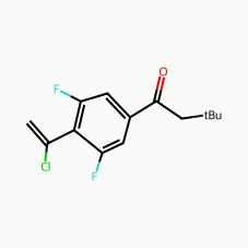 C=C(Cl)c1c(F)cc(C(=O)CC(C)(C)C)cc1F